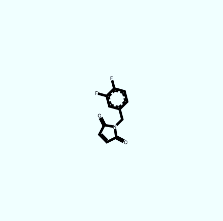 O=C1C=CC(=O)N1Cc1ccc(F)c(F)c1